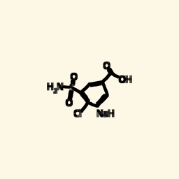 NS(=O)(=O)c1cc(C(=O)O)ccc1Cl.[NaH]